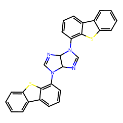 C1=NC2C(N=CN2c2cccc3c2sc2ccccc23)N1c1cccc2c1sc1ccccc12